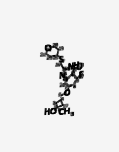 C[C@]1(O)C[C@H](COc2cc(F)c3c(=O)[nH]c(CSC4CCOCC4)nc3c2)C1